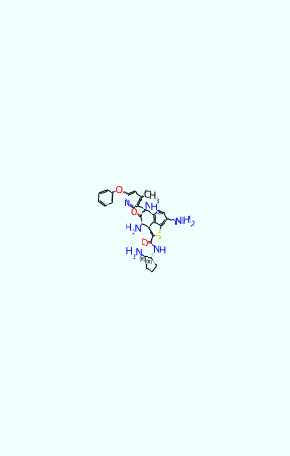 Cc1cc(Oc2ccccc2)ncc1C1(N)C(=O)C(N)c2c(C(=O)N[C@@H]3CCC[C@H]3N)sc3c(N)ccc1c23